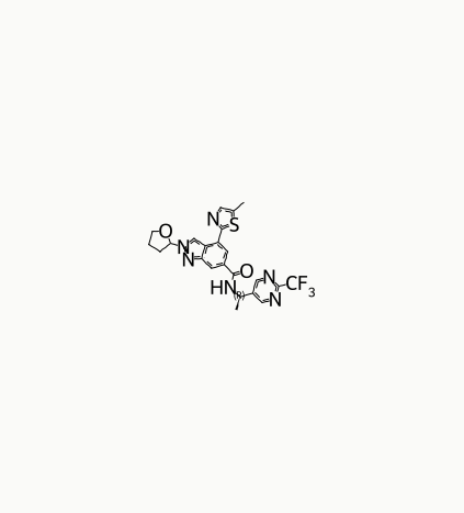 Cc1cnc(-c2cc(C(=O)N[C@H](C)c3cnc(C(F)(F)F)nc3)cc3nn(C4CCCO4)cc23)s1